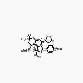 CSOC1CC(C)(C)Cc2nc(C3CCCC3)c3c(c21)C(C)(CI)O[C@@H]3c1ccc(C(C)(C)C)cc1